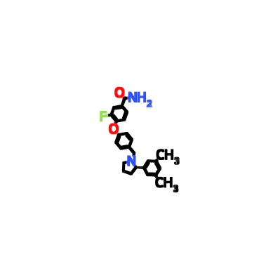 Cc1cc(C)cc([C@H]2CCCN2Cc2ccc(Oc3ccc(C(N)=O)cc3F)cc2)c1